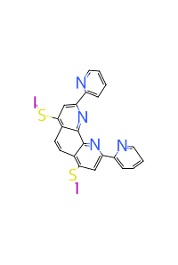 ISc1cc(-c2ccccn2)nc2c1ccc1c(SI)cc(-c3ccccn3)nc12